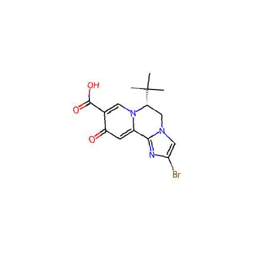 CC(C)(C)[C@@H]1Cn2cc(Br)nc2-c2cc(=O)c(C(=O)O)cn21